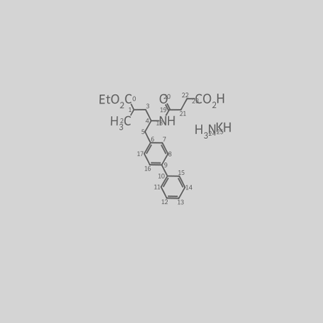 CCOC(=O)C(C)CC(Cc1ccc(-c2ccccc2)cc1)NC(=O)CCC(=O)O.N.[KH]